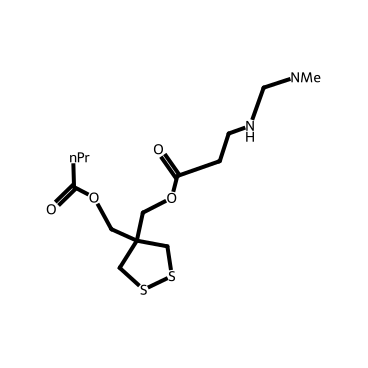 CCCC(=O)OCC1(COC(=O)CCNCNC)CSSC1